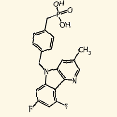 Cc1cnc2c3c(F)cc(F)cc3n(Cc3ccc(CP(=O)(O)O)cc3)c2c1